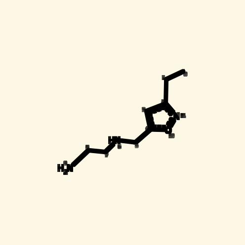 CCc1cc(CNCCN)on1